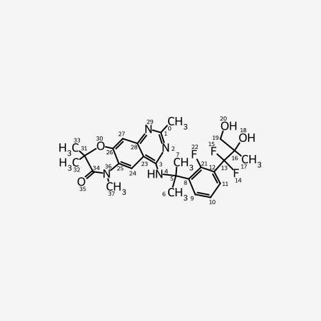 Cc1nc(NC(C)(C)c2cccc(C(F)(F)C(C)(O)CO)c2F)c2cc3c(cc2n1)OC(C)(C)C(=O)N3C